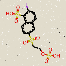 O=S(=O)(O)OCCS(=O)(=O)c1ccc2c(S(=O)(=O)O)c(I)ccc2c1